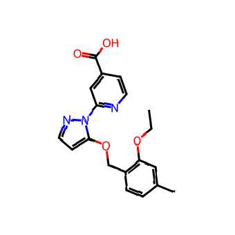 CCOc1cc(C)ccc1COc1ccnn1-c1cc(C(=O)O)ccn1